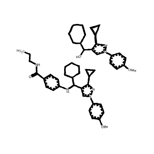 COc1ccc(-n2cc(C(Nc3ccc(C(=O)NCCC(=O)O)cc3)C3CCCCC3)c(C3CC3)n2)cc1.COc1ccc(-n2cc(C(O)C3CCCCC3)c(C3CC3)n2)cc1